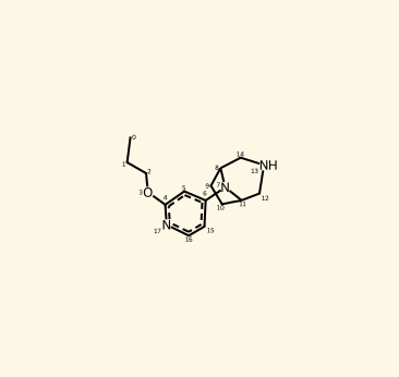 CCCOc1cc(N2C3CCC2CNC3)ccn1